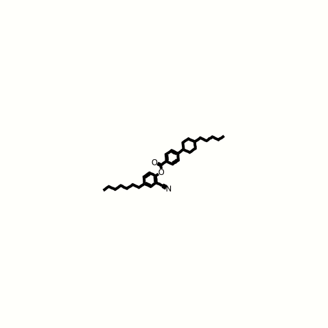 CCCCCCCc1ccc(OC(=O)c2ccc(C3CCC(CCCCC)CC3)cc2)c(C#N)c1